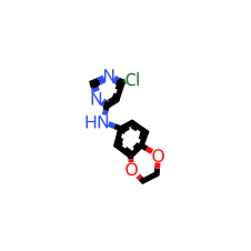 Clc1cc(Nc2ccc3c(c2)OCCO3)ncn1